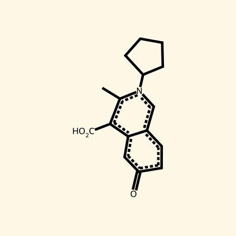 Cc1c(C(=O)O)c2cc(=O)ccc-2cn1C1CCCC1